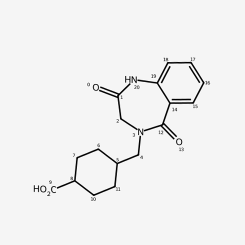 O=C1CN(CC2CCC(C(=O)O)CC2)C(=O)c2ccccc2N1